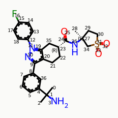 CC(C)(N)c1cccc(-c2nn(-c3ccc(F)cc3)c3c2CC[C@@H](C(=O)N[C@@]2(C)CCS(=O)(=O)C2)C3)c1